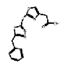 O=C(O)Cc1csc(Sc2nnc(Cc3ccccc3)s2)n1